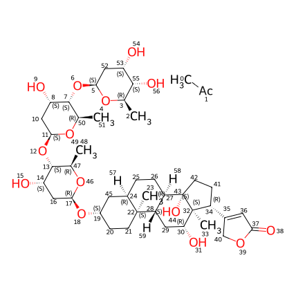 CC(C)=O.C[C@H]1O[C@@H](O[C@H]2[C@@H](O)C[C@H](O[C@H]3[C@@H](O)C[C@H](O[C@H]4CC[C@@]5(C)[C@H](CC[C@@H]6[C@@H]5C[C@@H](O)[C@]5(C)[C@@H](C7=CC(=O)OC7)CC[C@]65O)C4)O[C@@H]3C)O[C@@H]2C)C[C@H](O)[C@@H]1O